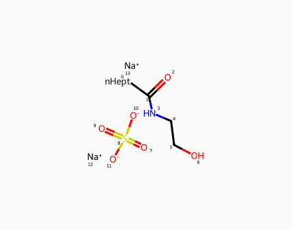 CCCCCCCC(=O)NCCO.O=S(=O)([O-])[O-].[Na+].[Na+]